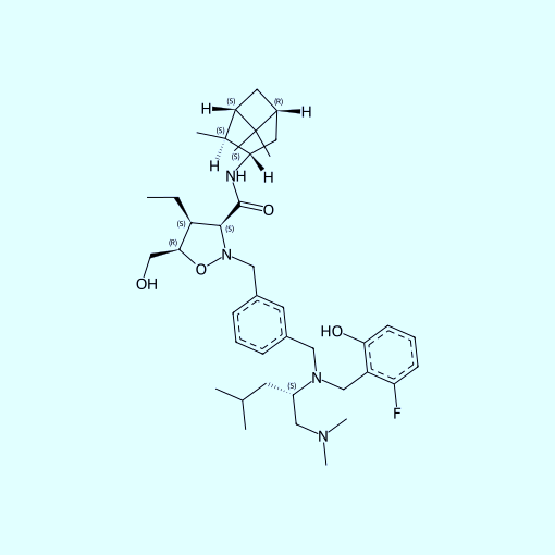 CC[C@@H]1[C@H](CO)ON(Cc2cccc(CN(Cc3c(O)cccc3F)[C@@H](CC(C)C)CN(C)C)c2)[C@@H]1C(=O)N[C@H]1C[C@H]2C[C@@H]([C@@H]1C)C2(C)C